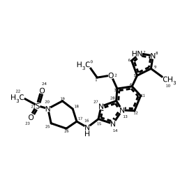 CCOc1c(-c2c[nH]nc2C)ccn2nc(NC3CCN(S(C)(=O)=O)CC3)nc12